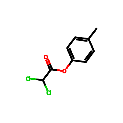 Cc1ccc(OC(=O)C(Cl)Cl)cc1